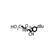 CC(C)(C)C1CCc2c(sc(NC(=O)/C=C/C(=O)O)c2C#N)C1